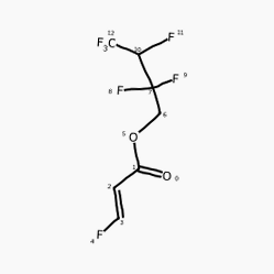 O=C(C=CF)OCC(F)(F)C(F)C(F)(F)F